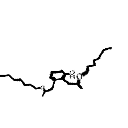 CCCCCCCOC(C)Cc1cccc(O)c1CC(C)OCCCCCCC